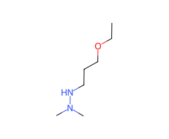 CCOCCCNN(C)C